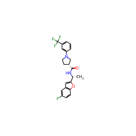 C[C@@H](NC(=O)[C@@H]1CCN(c2cccc(C(F)(F)F)c2)C1)c1cc2cc(F)ccc2o1